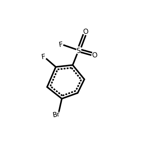 O=S(=O)(F)c1ccc(Br)cc1F